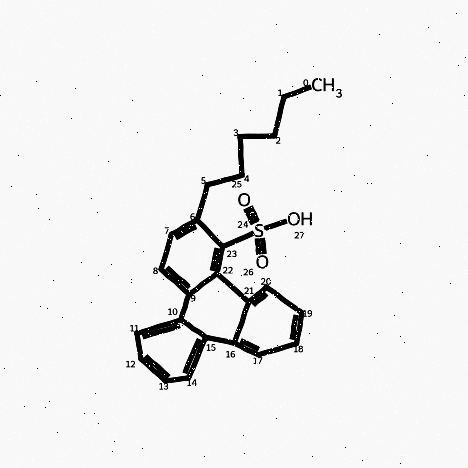 CCCCCCc1ccc2c3ccccc3c3ccccc3c2c1S(=O)(=O)O